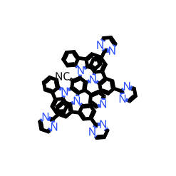 N#Cc1c(-n2c3ccccc3c3ccccc32)c(-n2c3ccc(-c4ncccn4)cc3c3cc(-c4ncccn4)ccc32)c(-c2ccncc2)c(-n2c3ccc(-c4ncccn4)cc3c3cc(-c4ncccn4)ccc32)c1-n1c2ccccc2c2ccccc21